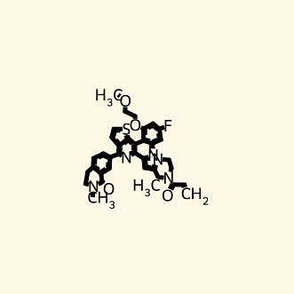 C=CC(=O)N1CCn2nc(-c3nc(-c4ccc5c(c4)C(=O)N(C)CC5)c4ccsc4c3-c3c(F)cc(F)cc3OCCOC)cc2C1C